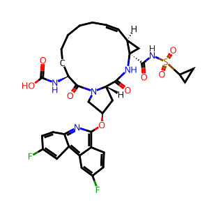 O=C(O)N[C@H]1CCCCCC=C[C@H]2C[C@@]2(C(=O)NS(=O)(=O)C2CC2)NC(=O)[C@@H]2C[C@@H](Oc3nc4ccc(F)cc4c4cc(F)ccc34)CN2C1=O